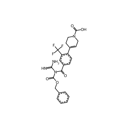 N=C(N)N(C(=O)OCc1ccccc1)C(=O)c1ccc(C2=CCN(C(=O)O)CC2)c(C(F)(F)F)c1